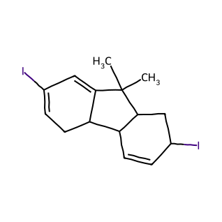 CC1(C)C2=CC(I)=CCC2C2C=CC(I)CC21